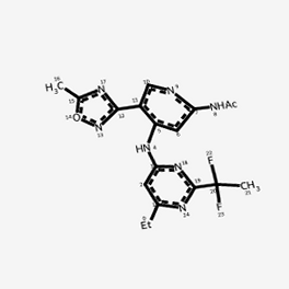 CCc1cc(Nc2cc(NC(C)=O)ncc2-c2noc(C)n2)nc(C(C)(F)F)n1